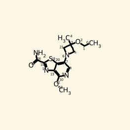 CCOC1(C)CN(c2cnc(OC)c3nc(C(N)=O)sc23)C1